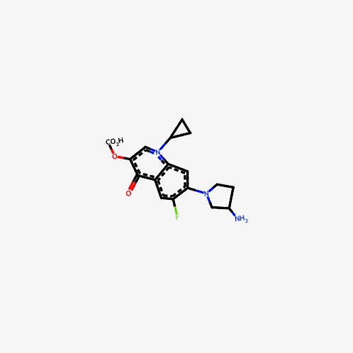 NC1CCN(c2cc3c(cc2F)c(=O)c(OC(=O)O)cn3C2CC2)C1